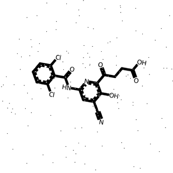 N#Cc1cc(NC(=O)c2c(Cl)cccc2Cl)nc(C(=O)CCC(=O)O)c1O